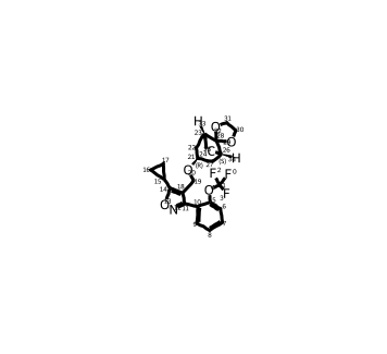 FC(F)(F)Oc1ccccc1-c1noc(C2CC2)c1CO[C@H]1C[C@H]2CC[C@@H](C1)C21OCCO1